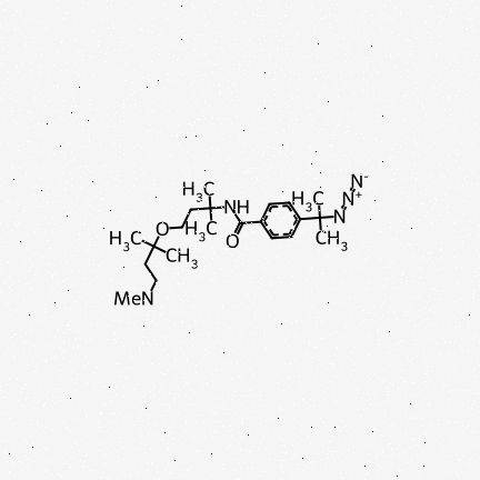 CNCCC(C)(C)OCCC(C)(C)NC(=O)c1ccc(C(C)(C)N=[N+]=[N-])cc1